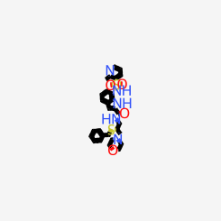 Cc1ncccc1S(=O)(=O)Nc1cccc2cc(C(=O)NCC(CN3CCOCC3)SCc3ccccc3)[nH]c12